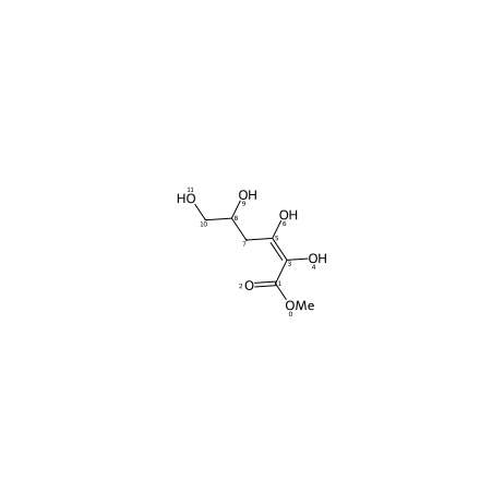 COC(=O)/C(O)=C(/O)CC(O)CO